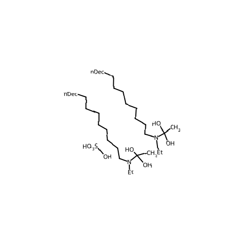 CCCCCCCCCCCCCCCCCCN(CC)C(C)(O)O.CCCCCCCCCCCCCCCCCCN(CC)C(C)(O)O.O=S(=O)(O)O